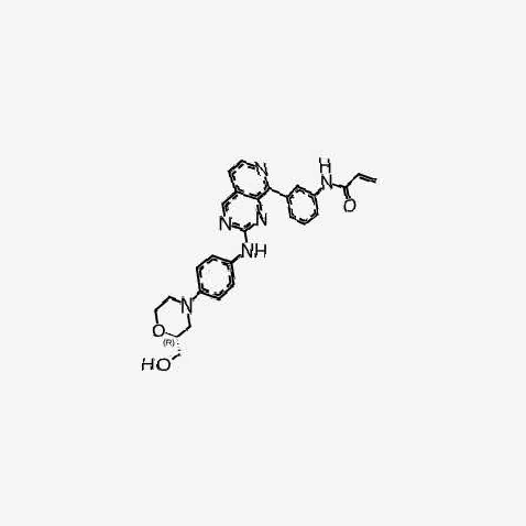 C=CC(=O)Nc1cccc(-c2nccc3cnc(Nc4ccc(N5CCO[C@@H](CO)C5)cc4)nc23)c1